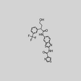 O=C(Nc1nc2ccc(NC(=O)C(CCO)c3cccc(C(F)(F)F)c3)cc2s1)c1cscn1